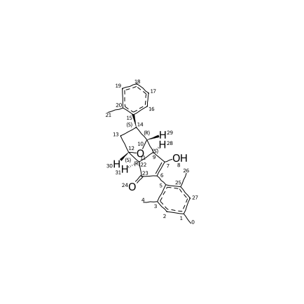 Cc1cc(C)c(C2=C(O)[C@@H]3[C@@H]4O[C@@H](C[C@H]4c4ccccc4C)[C@@H]3C2=O)c(C)c1